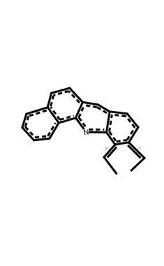 C/C=c1/ccc2cc3ccc4ccccc4c3nc2/c1=C/C